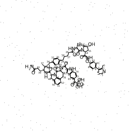 Cc1ncsc1-c1ccc(ONC(=O)[C@@H]2C[C@@H](O)CN2C(=O)[C@@H](NC(=O)CCCCc2ccc(CO[C@H](C)[C@H](CCC(N)=O)NC(=O)[C@@H]3Cc4cccc5c4N3C(=O)[C@@H](NC(=O)c3cc4cc(C(=O)P(=O)(O)O)ccc4[nH]3)CC5)cc2)C(C)(C)C)cc1